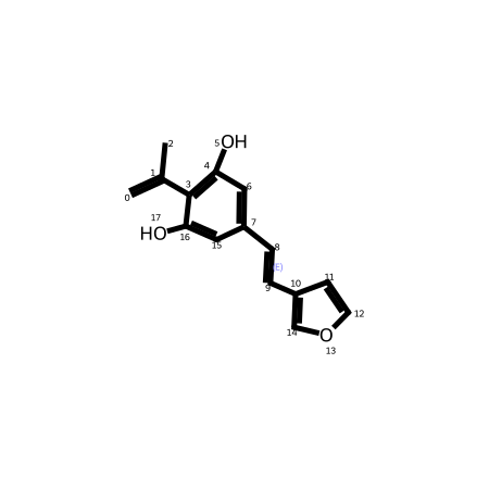 C=C(C)c1c(O)cc(/C=C/c2ccoc2)cc1O